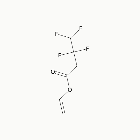 C=COC(=O)CC(F)(F)C(F)F